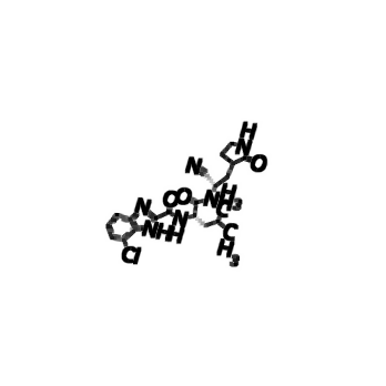 CC(C)C[C@H](NC(=O)c1nc2cccc(Cl)c2[nH]1)C(=O)N[C@H](C#N)CC1CCNC1=O